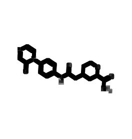 NC(=O)C1CC([CH]C(=O)Nc2ccc(-n3ccncc3=O)cc2)CCO1